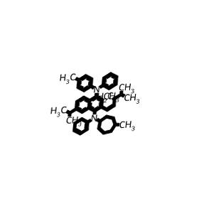 C=C(/C=C\c1c(C)c(N(c2ccccc2)c2ccc(C)cc2)c2ccc(C(C)C)cc2c1N(C1=CC=CCC1)C1CCCC(C)CC1)C(C)C